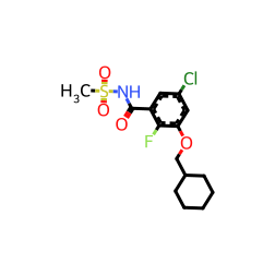 CS(=O)(=O)NC(=O)c1cc(Cl)cc(OCC2CCCCC2)c1F